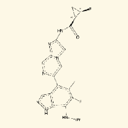 Cc1c(F)c(NC(C)C)c2[nH]ncc2c1-c1cn2cc(NC(=O)[C@H]3C[C@H]3F)nc2cn1